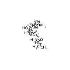 CC(C)CNC(=O)[C@@H](N)Cc1ccc(OP(=O)(O)CO[C@H](CO)Cn2cnc3c(N)ncnc32)cc1